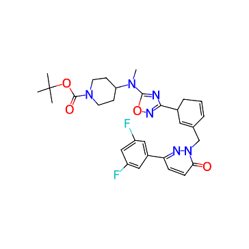 CN(c1nc(C2C=C(Cn3nc(-c4cc(F)cc(F)c4)ccc3=O)C=CC2)no1)C1CCN(C(=O)OC(C)(C)C)CC1